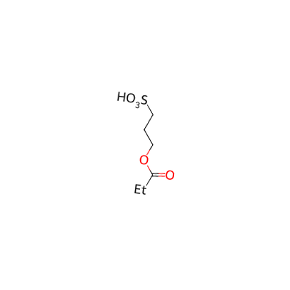 CCC(=O)OCCCS(=O)(=O)O